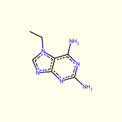 CCn1cnc2nc(N)nc(N)c21